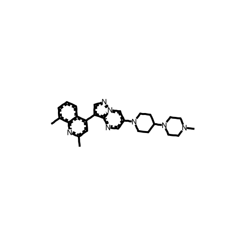 Cc1cc(-c2cnn3cc(N4CCC(N5CCN(C)CC5)CC4)cnc23)c2cccc(C)c2n1